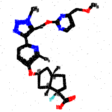 COCc1ccnc(OCc2c(-c3ccc(O[C@@H]4C[C@H]5CC[C@@](F)(C(=O)O)[C@H]5C4)c(C)n3)nnn2C)n1